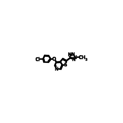 Cn1nnc(-c2cc3c(Oc4ccc(Cl)cc4)cncc3s2)n1